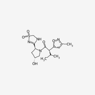 Cc1cc([C@H](C(=O)N2C[C@H](O)C[C@H]2C2=NS(=O)(=O)CN2)C(C)C)on1